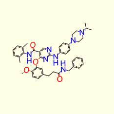 COc1ccc(CCC(=O)NCc2ccccc2)cc1Oc1nc(Nc2ccc(N3CCN(C(C)C)CC3)cc2)ncc1C(=O)Nc1c(C)cccc1C